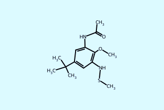 COc1c(NSC)cc(C(C)(C)C)cc1NC(C)=O